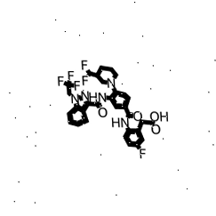 O=C(O)Cc1cc(F)ccc1NC(=O)c1ccc(N2CCCC(C(F)F)C2)c(NC(=O)c2nn(CC(F)(F)F)c3ccccc23)c1